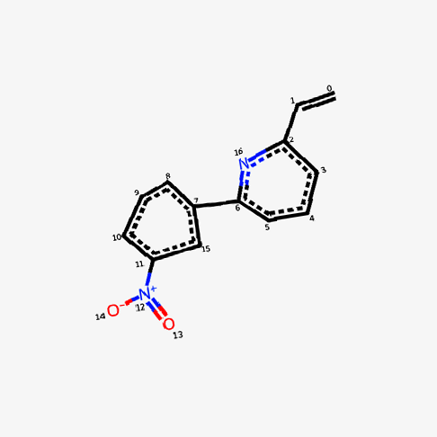 C=Cc1cccc(-c2cccc([N+](=O)[O-])c2)n1